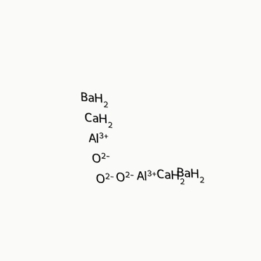 [Al+3].[Al+3].[BaH2].[BaH2].[CaH2].[CaH2].[O-2].[O-2].[O-2]